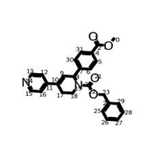 COC(=O)c1ccc(C2C=C(c3ccncc3)CCN2C(=O)OCc2ccccc2)cc1